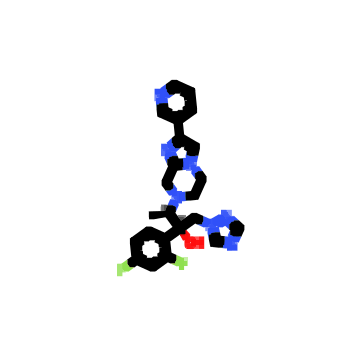 C[C@@H](N1CCn2cc(-c3cccnc3)nc2C1)[C@](O)(Cn1cncn1)c1ccc(F)cc1F